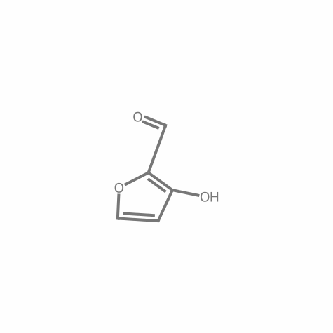 O=Cc1occc1O